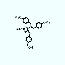 COc1ccc(CN(Cc2ccc(OC)cc2)c2nc([N+](=O)[O-])nn2Cc2ccc(CO)cc2)cc1